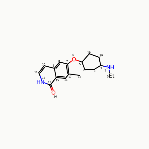 CCNC1CCC(Oc2cc3cc[nH]c(=O)c3cc2C)CC1